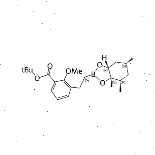 COc1c(C[C@H](C)B2O[C@@H]3C[C@@H](C)C[C@@H](C)[C@]3(C)O2)cccc1C(=O)OC(C)(C)C